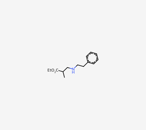 CCOC(=O)C(C)CNCCc1ccccc1